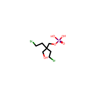 O=P(O)(O)OCC(CO)(CCBr)CCBr